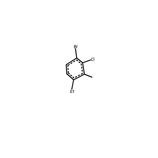 CCc1ccc(Br)c(Cl)c1C